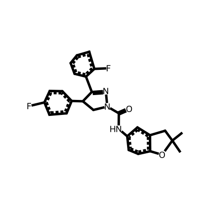 CC1(C)Cc2cc(NC(=O)N3CC(c4ccc(F)cc4)C(c4ccccc4F)=N3)ccc2O1